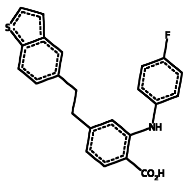 O=C(O)c1ccc(CCc2ccc3sccc3c2)cc1Nc1ccc(F)cc1